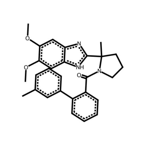 COc1cc2nc(C3(C)CCCN3C(=O)c3ccccc3-c3cccc(C)c3)[nH]c2cc1OC